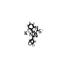 [K+].[S-]c1nc2ccccc2c2nc(-c3ccoc3)nn12